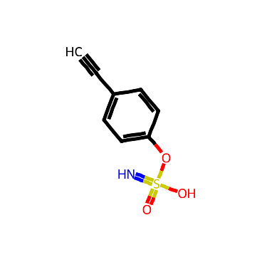 C#Cc1ccc(OS(=N)(=O)O)cc1